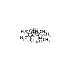 CC1=C(C)C(C)(C)[C]([Sc+][C]2=C(C)C(C)=C(C)C2(C)C)=C1C.[Cl-]